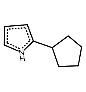 c1c[nH]c(C2CCCC2)c1